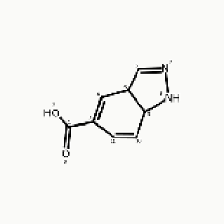 O=C(O)C1=CC2C=NNC2C=C1